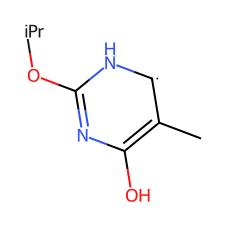 CC1=C(O)N=C(OC(C)C)N[CH]1